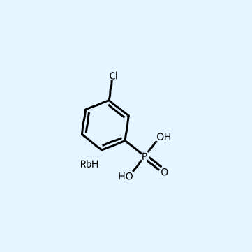 O=P(O)(O)c1cccc(Cl)c1.[RbH]